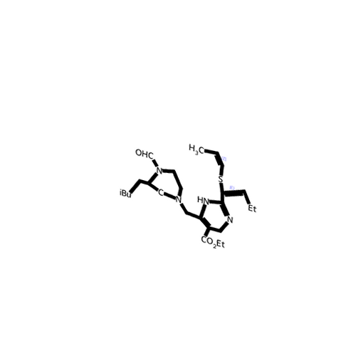 C/C=C\S/C(=C/CC)C1=NCC(C(=O)OCC)=C(CN2CCN(C=O)C(CC(C)CC)C2)N1